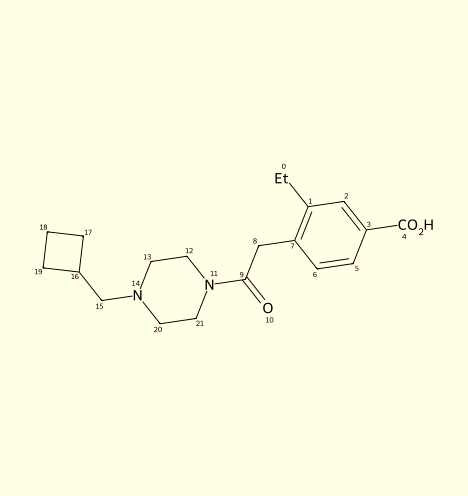 CCc1cc(C(=O)O)ccc1CC(=O)N1CCN(CC2CCC2)CC1